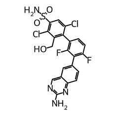 Nc1ncc2cc(-c3c(F)ccc(-c4c(Cl)cc(S(N)(=O)=O)c(Cl)c4CO)c3F)ccc2n1